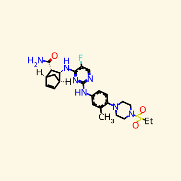 CCS(=O)(=O)N1CCN(c2ccc(Nc3ncc(F)c(N[C@H]4[C@@H](C(N)=O)[C@@H]5C=C[C@H]4C5)n3)cc2C)CC1